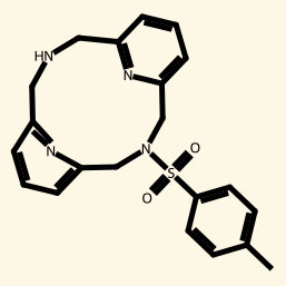 Cc1ccc(S(=O)(=O)N2Cc3cccc(n3)CNCc3cccc(n3)C2)cc1